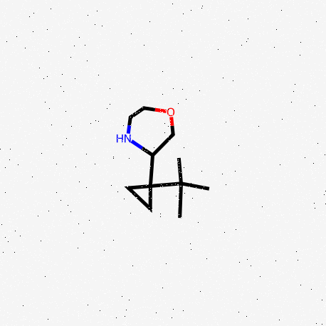 CC(C)(C)C1(C2COCCN2)CC1